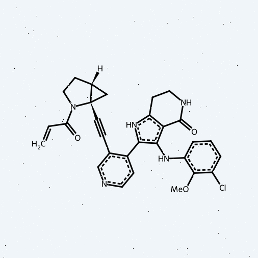 C=CC(=O)N1CC[C@@H]2C[C@@]21C#Cc1cnccc1-c1[nH]c2c(c1Nc1cccc(Cl)c1OC)C(=O)NCC2